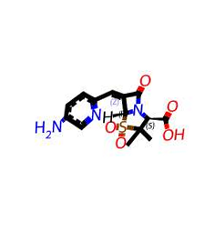 CC1(C)[C@H](C(=O)O)N2C(=O)/C(=C/c3ccc(N)cn3)[C@H]2S1(=O)=O